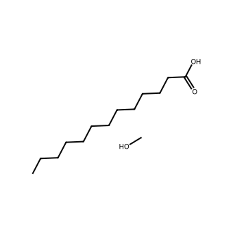 CCCCCCCCCCCCC(=O)O.CO